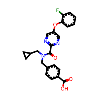 O=C(O)c1ccc(CN(CC2CC2)C(=O)c2ncc(Oc3ccccc3F)cn2)cc1